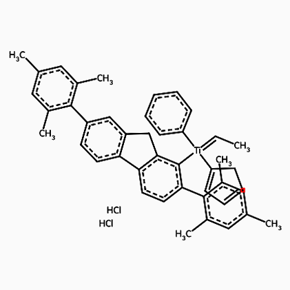 C[CH]=[Ti]([C]1=CC=CC1)([c]1ccccc1)[c]1c(-c2c(C)cc(C)cc2C)ccc2c1Cc1cc(-c3c(C)cc(C)cc3C)ccc1-2.Cl.Cl